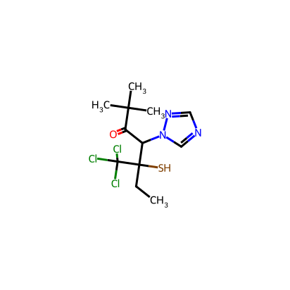 CCC(S)(C(C(=O)C(C)(C)C)n1cncn1)C(Cl)(Cl)Cl